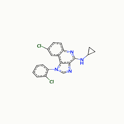 Clc1ccc2nc(NC3CC3)c3ncn(-c4ccccc4Cl)c3c2c1